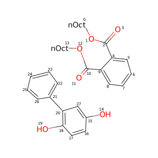 CCCCCCCCOC(=O)c1ccccc1C(=O)OCCCCCCCC.Oc1ccc(O)c(-c2ccccc2)c1